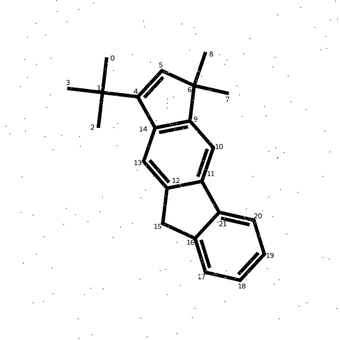 CC(C)(C)C1=CC(C)(C)c2cc3c(cc21)Cc1ccccc1-3